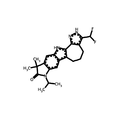 CC(C)N1C(=O)C(C)(C)c2cc3[nH]c4c(c3cc21)CCCc1c-4n[nH]c1C(F)F